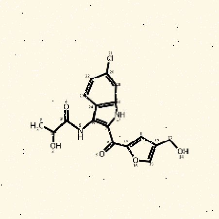 CC(O)C(=O)Nc1c(C(=O)c2cc(CO)co2)[nH]c2cc(Cl)ccc12